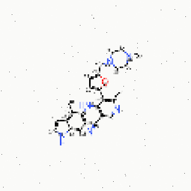 Cc1ncc(C#N)c(Nc2ccc3[nH]ccc3c2C)c1-c1ccc(CN2CCN(C)CC2)o1